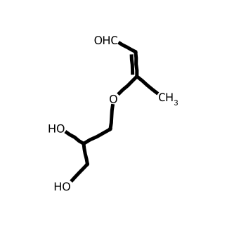 CC(=CC=O)OCC(O)CO